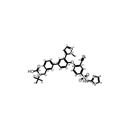 Cn1nccc1-c1cc(-c2cccc(CN(C(=O)O)C(C)(C)C)c2)ccc1Oc1ccc(S(=O)(=O)Nc2nccs2)cc1C#N